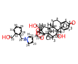 C[C@]12C=CC(=O)C=C1CC[C@@H]1[C@@H]2[C@@H](O)C[C@@]2(C)[C@H]1C[C@H]1O[C@@H](c3ccn(Cc4ccccc4CO)c3)O[C@]12C(=O)CO